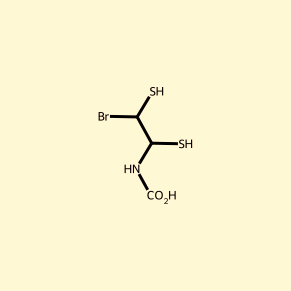 O=C(O)NC(S)C(S)Br